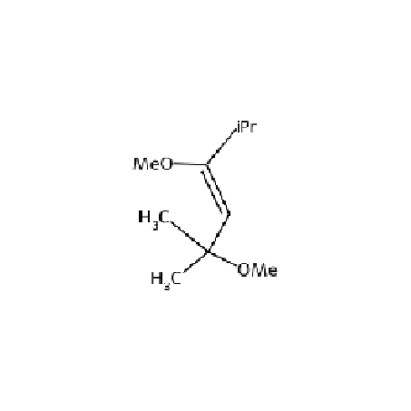 CO/C(=C\C(C)(C)OC)C(C)C